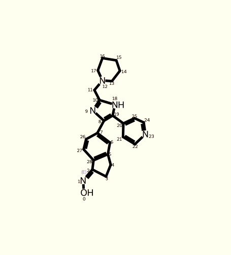 O/N=C1\CCc2cc(-c3nc(CN4CCCCC4)[nH]c3-c3ccncc3)ccc21